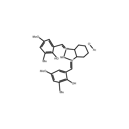 CC(=O)[O-].COc1cc(C=[N+]2[Mn][N+](=Cc3cc(OC)cc(C(C)(C)C)c3O)C3CCCCC32)c(O)c(C(C)(C)C)c1